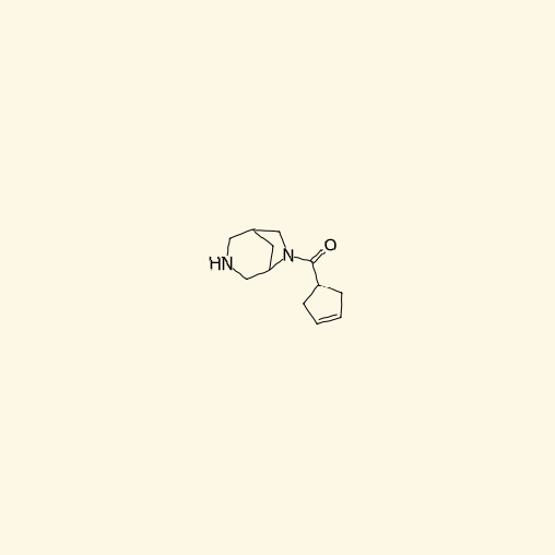 O=C(C1CC=CC1)N1CC2CNCC1C2